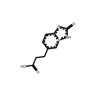 O=C(O)CCc1ccc2nc(=O)[nH]n2c1